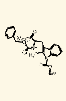 COC(=O)C(Cc1c(C)n(C(=O)OC(C)(C)C)c2ccccc12)NC(=O)OCc1ccccc1